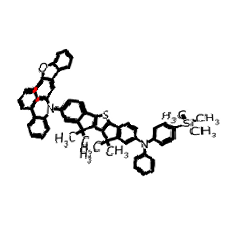 CC1(C)c2cc(N(c3ccccc3)c3ccc([Si](C)(C)C)cc3)ccc2-c2sc3c(c21)C(C)(C)c1cc(N(c2ccc4oc5ccccc5c4c2)c2ccccc2-c2ccccc2)ccc1-3